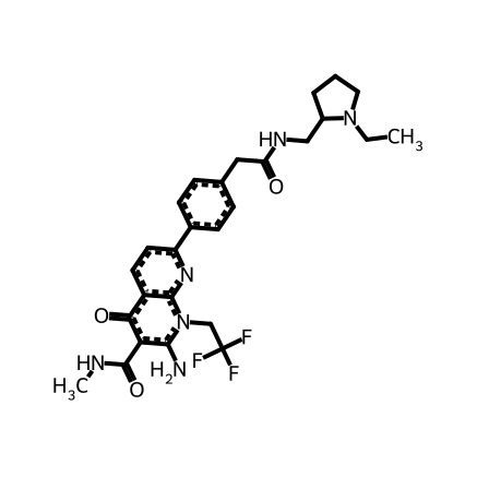 CCN1CCCC1CNC(=O)Cc1ccc(-c2ccc3c(=O)c(C(=O)NC)c(N)n(CC(F)(F)F)c3n2)cc1